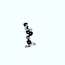 CC(C)Oc1ccc(-c2ncc(-c3cccc4c3CC[C@@H]4NC(=O)CN3CCCC3)s2)cc1C#N